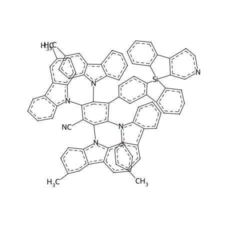 Cc1ccc2c(c1)c1ccccc1n2-c1c(C#N)c(-n2c3ccccc3c3cc(C)ccc32)c(-n2c3ccccc3c3cc(C)ccc32)c(-c2ccc3c(c2)-c2ccccc2[Si]32c3ccccc3-c3ccncc32)c1-n1c2ccccc2c2cc(C)ccc21